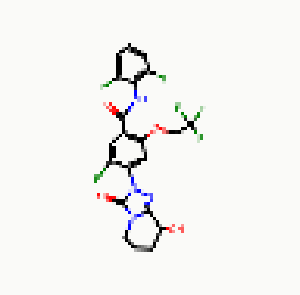 O=C(Nc1c(F)cccc1F)c1cc(F)c(-n2nc3n(c2=O)CCCC3O)cc1OCC(F)(F)F